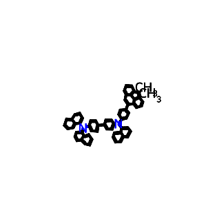 CC1(C)c2cccc3cc(-c4ccc(N(c5ccc(-c6ccc(N(c7cccc8ccccc78)c7cccc8ccccc78)cc6)cc5)c5cccc6ccccc56)cc4)c4cccc1c4c23